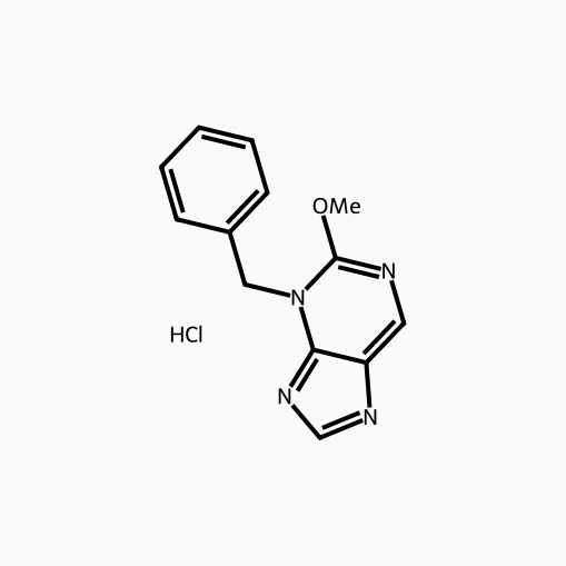 COc1ncc2ncnc-2n1Cc1ccccc1.Cl